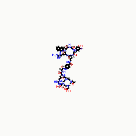 CC(=O)CN1CCN(CC(=O)O)CCN(CC(=O)O)CCN(CC(=O)N[C@@H](CCCNC(=N)N)C(=O)N[C@@H](C)C(=O)Nc2ccc(C(=O)NCCC[C@@H]3C(=O)N[C@@H](CCCNC(=N)N)C(=O)N[C@@H](Cc4ccc5ccccc5c4)C(=O)NCC(=O)N[C@H](Cc4ccc(O)c(I)c4)C(=O)N3C)cc2)CC1